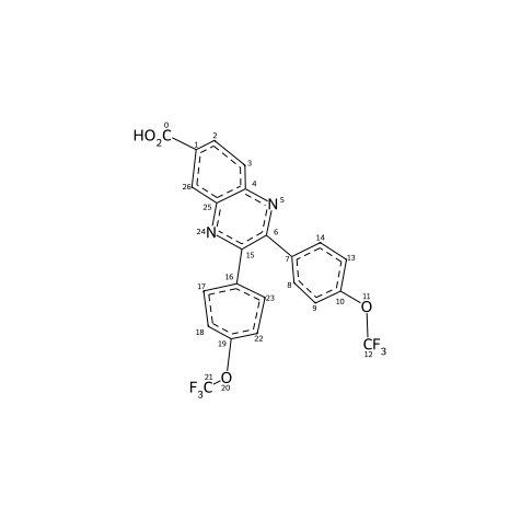 O=C(O)c1ccc2nc(-c3ccc(OC(F)(F)F)cc3)c(-c3ccc(OC(F)(F)F)cc3)nc2c1